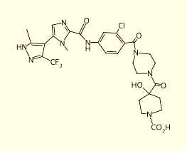 Cc1[nH]nc(C(F)(F)F)c1-c1cnc(C(=O)Nc2ccc(C(=O)N3CCN(C(=O)C4(O)CCN(C(=O)O)CC4)CC3)c(Cl)c2)n1C